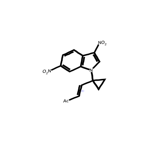 CC(=O)/C=C/C1(n2cc([N+](=O)[O-])c3ccc([N+](=O)[O-])cc32)CC1